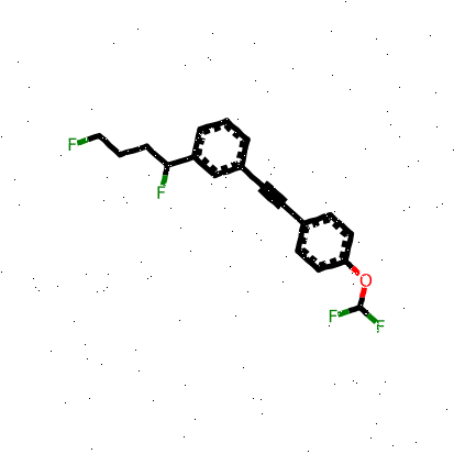 FCCCC(F)c1cccc(C#Cc2ccc(OC(F)F)cc2)c1